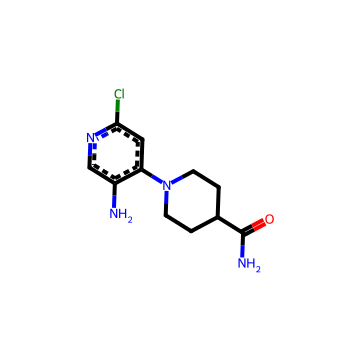 NC(=O)C1CCN(c2cc(Cl)ncc2N)CC1